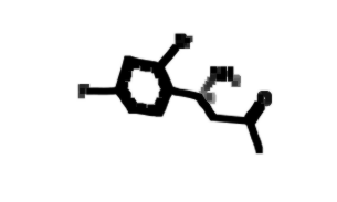 CC(=O)C[C@@H](N)c1ccc(F)cc1Br